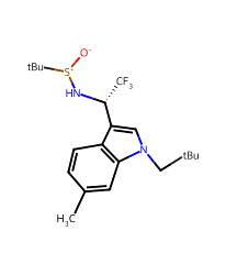 Cc1ccc2c([C@H](N[S+]([O-])C(C)(C)C)C(F)(F)F)cn(CC(C)(C)C)c2c1